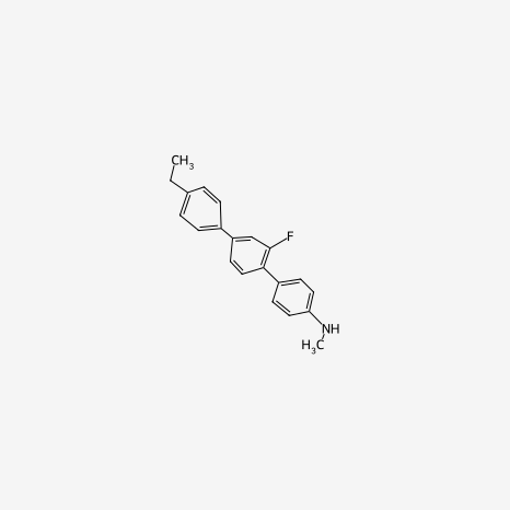 CCc1ccc(-c2ccc(-c3ccc(NC)cc3)c(F)c2)cc1